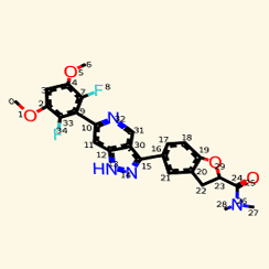 COc1cc(OC)c(F)c(-c2cc3[nH]nc(-c4ccc5c(c4)CC(C(=O)N(C)C)O5)c3cn2)c1F